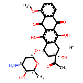 COc1cccc2c1C(=O)c1c(O)c3c(c(O)c1C2=O)C[C@@](O)(C(C)=O)C[C@@H]3O[C@H]1C[C@H](N)[C@H](O)[C@H](C)O1.[H+]